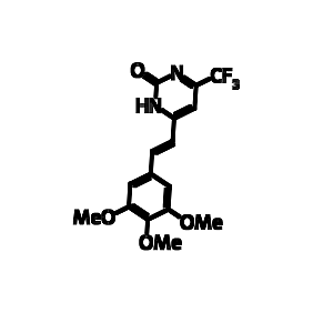 COc1cc(C=Cc2cc(C(F)(F)F)nc(=O)[nH]2)cc(OC)c1OC